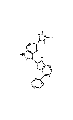 Cc1ncc(-c2ccc3[nH]nc(-c4cc5c(-c6ccncc6)nccc5[nH]4)c3n2)n1C